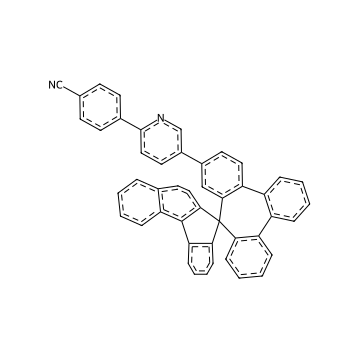 N#Cc1ccc(-c2ccc(-c3ccc4c(c3)C3(c5ccccc5-c5ccccc5-4)c4ccccc4-c4c3ccc3ccccc43)cn2)cc1